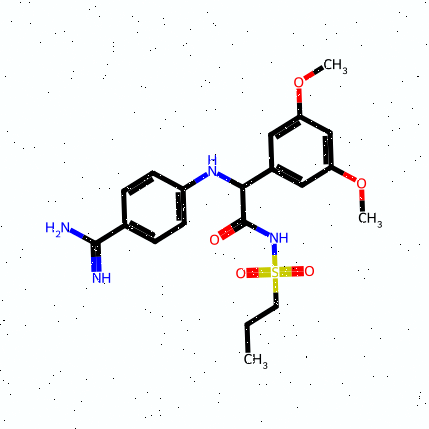 CCCS(=O)(=O)NC(=O)C(Nc1ccc(C(=N)N)cc1)c1cc(OC)cc(OC)c1